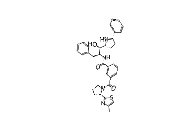 Cc1csc([C@H]2CCCN2C(=O)c2cccc(C(=O)N[C@@H](Cc3ccccc3)[C@@H](O)[C@H]3CC[C@@H](c4ccccc4)N3)c2)n1